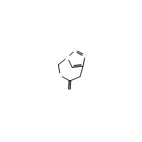 O=C1Cc2cn(nn2)CN1